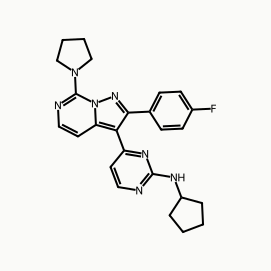 Fc1ccc(-c2nn3c(N4CCCC4)nccc3c2-c2ccnc(NC3CCCC3)n2)cc1